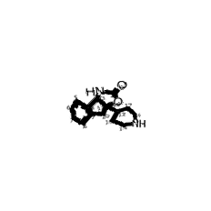 O=C1NC2c3ccccc3CC2(C2CCNCC2)O1